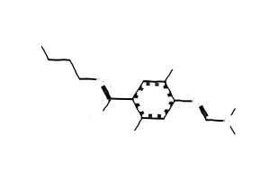 CCN(C)C=Nc1cc(C)c(/C(C)=N/CCCC(C)(C)C)cc1C